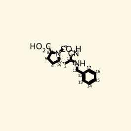 N#CC(C[C@@H]1CC[C@@H](C(=O)O)N1C(=O)O)NCc1ccccc1